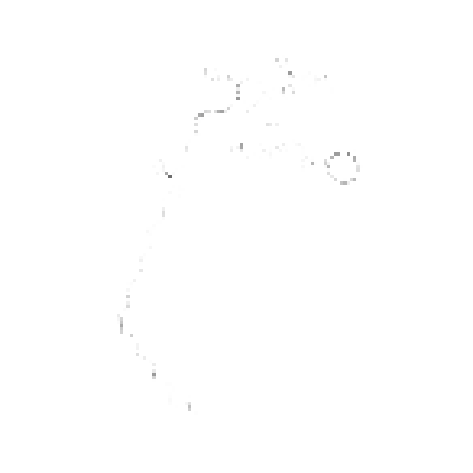 CCCCCC/C=C\CCCCCCCCOC(=O)CCC/C=C\C[C@@H]1[C@@H](CC[C@H](COc2ccccc2)OC)[C@H](OC(C)=O)C[C@@H]1O